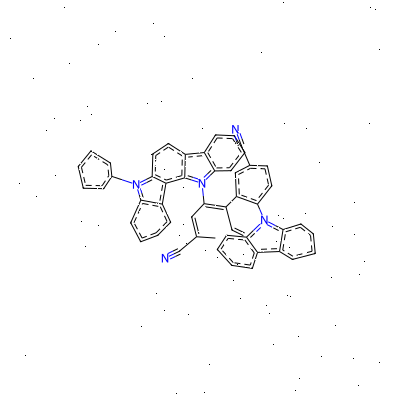 C=C/C(=C(\C=C(/C)C#N)n1c2ccccc2c2ccc3c(c4ccccc4n3-c3ccccc3)c21)c1cc(C#N)ccc1-n1c2ccccc2c2ccccc21